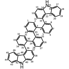 c1ccc(-c2ccccc2-c2cccc3[nH]c4ccccc4c23)c(-c2ccccc2-c2ccccc2-c2cccc3[nH]c4ccccc4c23)c1